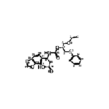 CCOC[C@@H](CSc1ccccc1)OC(=O)N[C@@H](CC(=O)O)c1ccc2c(c1)OCO2